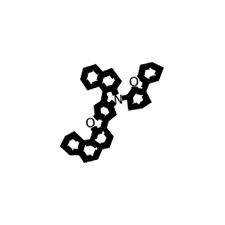 c1ccc2c(c1)ccc1ccc3c4cc5c(cc4oc3c12)c1c2ccccc2ccc1n5-c1cccc2c1oc1ccccc12